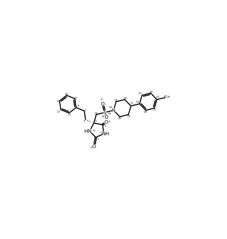 O=C1NC(=O)[C@](CCc2ccccc2)(CS(=O)(=O)N2CCC(c3ccc(F)cc3)CC2)N1